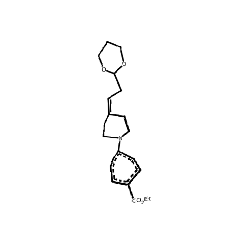 CCOC(=O)c1ccc(N2CCC(=CCC3OCCCO3)CC2)cc1